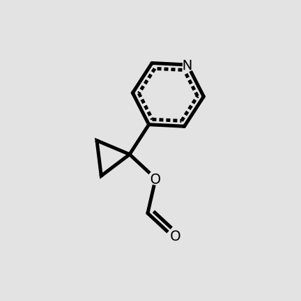 O=COC1(c2ccncc2)CC1